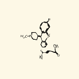 CN1CCC(=C2c3ccccc3Sc3cc(F)ccc32)CC1.O=C(O)C=CC(=O)O